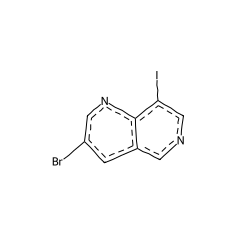 Brc1cnc2c(I)cncc2c1